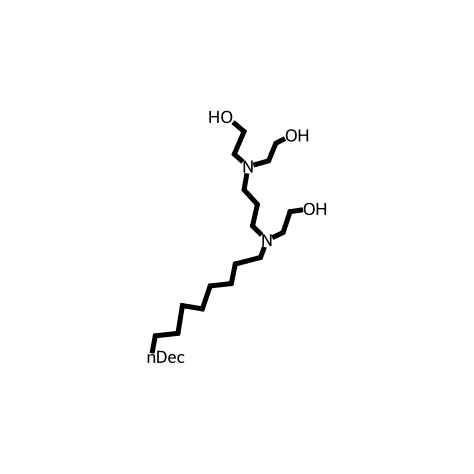 CCCCCCCCCCCCCCCCCCN(CCO)CCCN(CCO)CCO